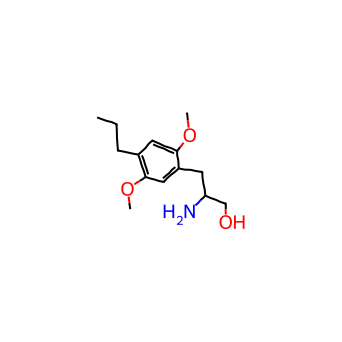 CCCc1cc(OC)c(CC(N)CO)cc1OC